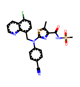 Cc1sc(N(Cc2ccc(F)c3cccnc23)c2ccc(C#N)cc2)nc1C(=O)NS(C)(=O)=O